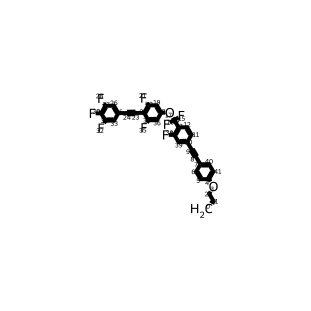 C=CCOc1ccc(C#Cc2ccc(C(F)(F)Oc3cc(F)c(C#Cc4cc(F)c(F)c(F)c4)c(F)c3)c(F)c2)cc1